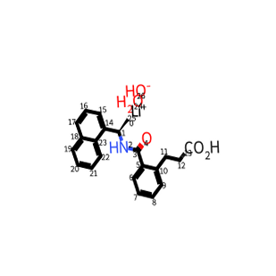 C[C@@H](NC(=O)c1ccccc1CCC(=O)O)c1cccc2ccccc12.O.[Li+].[OH-]